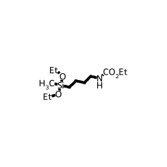 CCOC(=O)NCCCC[Si](C)(OCC)OCC